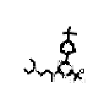 CCN(CC)CCNc1nc(-c2ccc(C(C)(C)C)cc2)nc(C(Cl)(Cl)Cl)n1